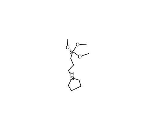 CO[Si](CCC[SiH]1CCCC1)(OC)OC